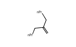 C=C(CCCC)CCCC